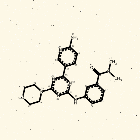 CN(C)C(=O)c1cccc(Nc2nc(-c3ccc(N)nc3)nc(N3CCOCC3)n2)c1